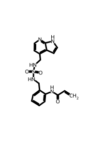 C=CC(=O)Nc1ccccc1CNS(=O)(=O)NCc1ccnc2[nH]ccc12